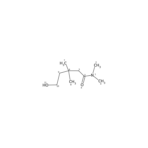 CN(C)C(=O)CC(C)(C)CCO